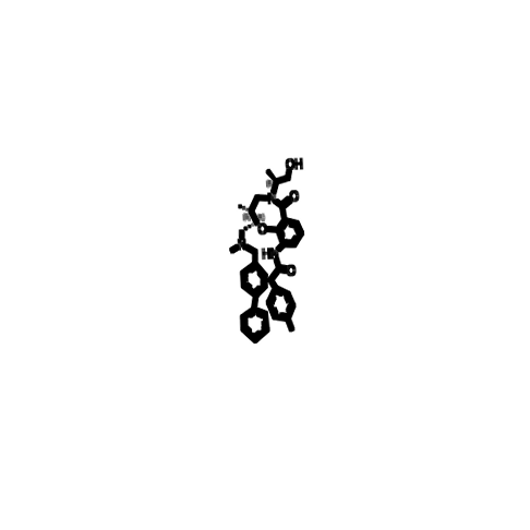 Cc1ccc(CC(=O)Nc2cccc3c2O[C@H](CN(C)Cc2ccc(-c4ccccc4)cc2)[C@H](C)CN([C@@H](C)CO)C3=O)cc1